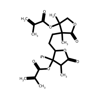 C=C(C)C(=O)OC1(C(C)C)C(CCC2(C)C(=O)OCC2(C)OC(=O)C(=C)C)OC(=O)C1C